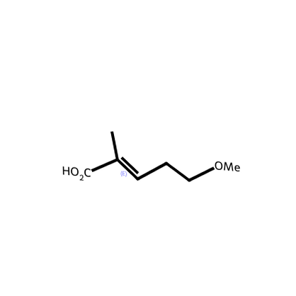 COCC/C=C(\C)C(=O)O